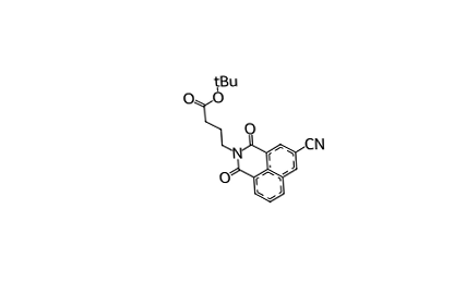 CC(C)(C)OC(=O)CCCN1C(=O)c2cccc3cc(C#N)cc(c23)C1=O